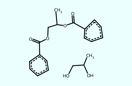 CC(COC(=O)c1ccccc1)OC(=O)c1ccccc1.CC(O)CO